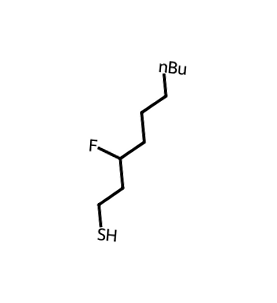 CCCCCCCC(F)CCS